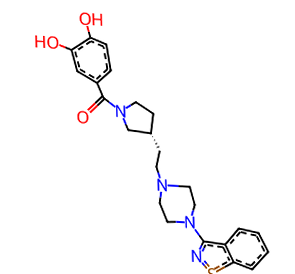 O=C(c1ccc(O)c(O)c1)N1CC[C@H](CCN2CCN(c3nsc4ccccc34)CC2)C1